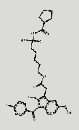 COc1ccc2c(c1)c(CC(=O)NCCCCCC(C)(C)NC(=O)C1CCCC1)c(C)n2C(=O)c1ccc(Cl)cc1